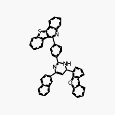 C1=C(c2ccc3ccccc3c2)N=C(c2ccc(-c3nc4ccccc4c4sc5ccccc5c34)cc2)NC1c1cccc2c1oc1ccccc12